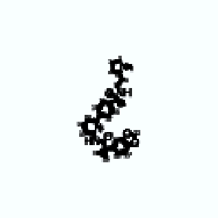 CN1CCCC1CCNS(=O)(=O)c1ccc(-c2cccc(NC(=O)C3(c4ccc5c(c4)OCO5)CC3)n2)cc1